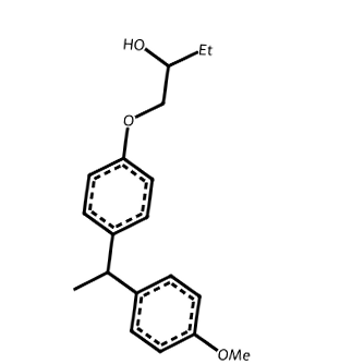 CCC(O)COc1ccc(C(C)c2ccc(OC)cc2)cc1